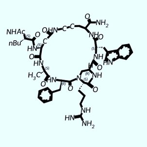 CCCC[C@H](NC(C)=O)C(=O)N[C@H]1CC(=O)NCCCC(C(N)=O)NC(=O)[C@H](Cc2c[nH]c3ccccc23)NC(=O)[C@H]2CN(C(=O)[C@@H](Cc3ccccc3)NC(=O)[C@H](C)NC1=O)[C@@H](CCCNC(=N)N)C(=O)N2